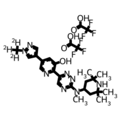 O=C(O)C(F)(F)F.O=C(O)C(F)(F)F.[2H]C([2H])([2H])n1cc(-c2cnc(-c3cnc(N(C)C4CC(C)(C)NC(C)(C)C4)nn3)c(O)c2)cn1